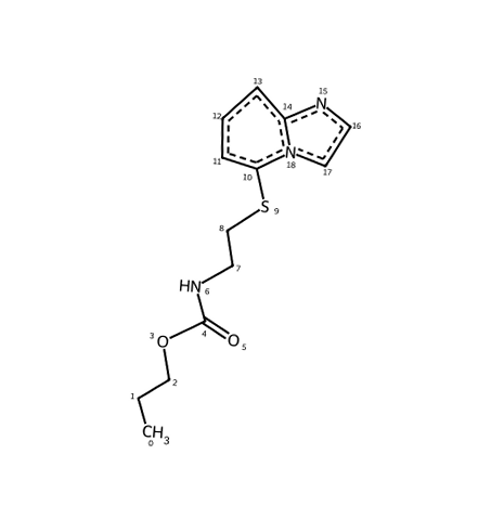 CCCOC(=O)NCCSc1cccc2nccn12